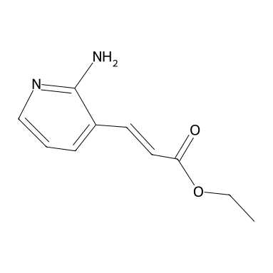 CCOC(=O)/C=C/c1cccnc1N